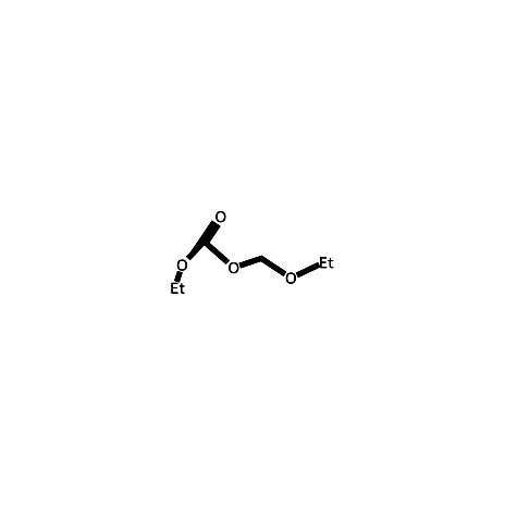 [CH2]COC(=O)OCOCC